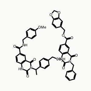 COc1ccc(CNC(=O)c2ccc3[nH]c(=O)n(C(C)c4ccc(CC(=O)O)cc4)c(=O)c3c2)cc1.O=C(OCc1ccc2c(c1)OCO2)c1ccc2[nH]c(=O)n(Cc3ccccc3)c(=O)c2c1